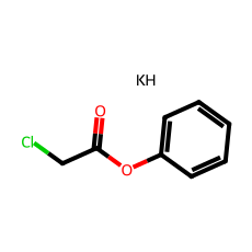 O=C(CCl)Oc1ccccc1.[KH]